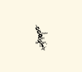 COc1cc(Nc2ncc(Br)c(NC(N)C#C[Si](C)(C)C)n2)c(C)cc1N1CCC(N2CCN(C)CC2)CC1